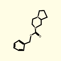 O=C(OCc1ccccc1)N1CCN2CCCC2C1